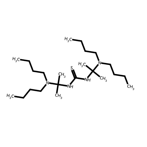 CCCCN(CCCC)C(C)(C)NC(=S)NC(C)(C)N(CCCC)CCCC